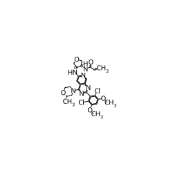 C=CC(=O)N[C@H]1COC[C@H]1Nc1cc2c(N3CCOC(C)C3)nc(-c3c(Cl)c(OC)cc(OC)c3Cl)nc2cn1